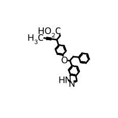 CC#CC(CC(=O)O)c1ccc(OC(Cc2ccccc2)c2ccc3cn[nH]c3c2)cc1